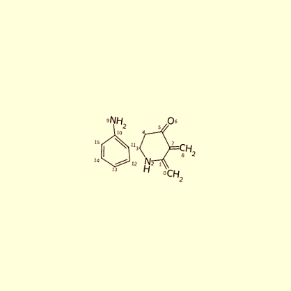 C=C1NCCC(=O)C1=C.Nc1ccccc1